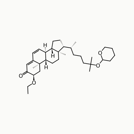 CCO[C@@H]1C[C@@]2(C)C(=CC1=O)C=C[C@H]1[C@@H]3CC[C@H]([C@H](C)CCCC(C)(C)OC4CCCCO4)[C@@]3(C)CC[C@@H]12